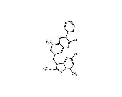 CCc1nc2c(C)cc(C)nc2n1Cc1ccc(OC(C(=O)O)c2ccccc2)c(C)c1